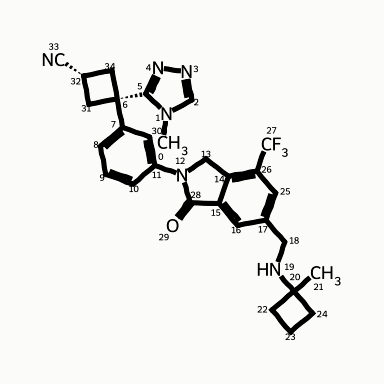 Cn1cnnc1[C@]1(c2cccc(N3Cc4c(cc(CNC5(C)CCC5)cc4C(F)(F)F)C3=O)c2)C[C@H](C#N)C1